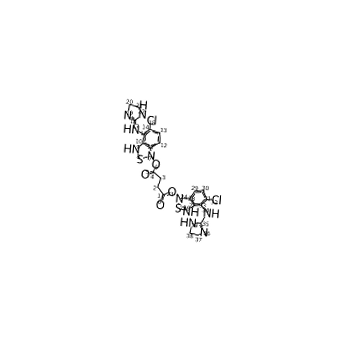 O=C(CCC(=O)ON1SNc2c1ccc(Cl)c2NC1=NCCN1)ON1SNc2c1ccc(Cl)c2NC1=NCCN1